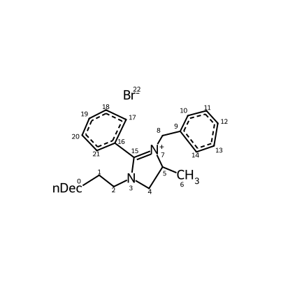 CCCCCCCCCCCCN1CC(C)[N+](Cc2ccccc2)=C1c1ccccc1.[Br-]